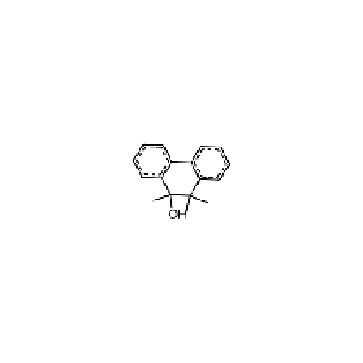 CC1(C)c2ccccc2-c2ccccc2C1(C)O